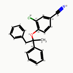 CC(Cc1ccccc1)(Oc1ccc(C#N)cc1Cl)c1ccccc1